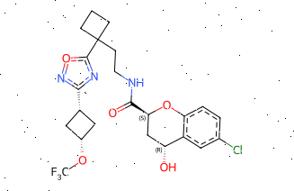 O=C(NCCC1(c2nc([C@H]3C[C@@H](OC(F)(F)F)C3)no2)CCC1)[C@@H]1C[C@@H](O)c2cc(Cl)ccc2O1